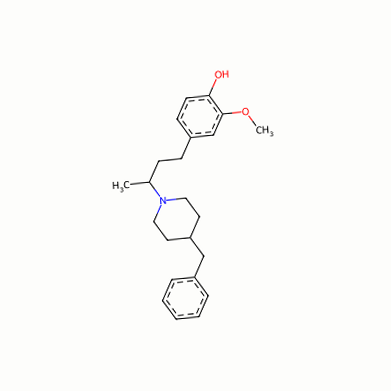 COc1cc(CCC(C)N2CCC(Cc3ccccc3)CC2)ccc1O